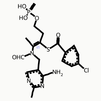 C=P(O)(O)OCC/C(SC(=O)c1ccc(Cl)cc1)=C(\C)N(C=O)Cc1cnc(C)nc1N